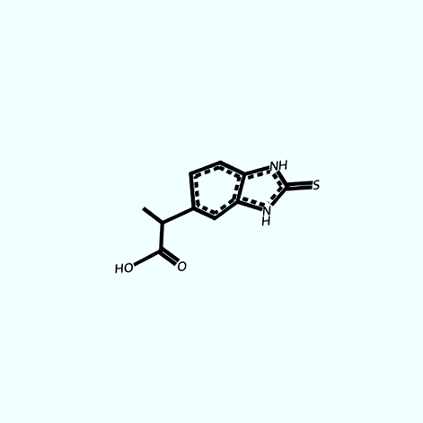 CC(C(=O)O)c1ccc2[nH]c(=S)[nH]c2c1